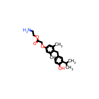 Cc1cc(OCC(=O)OCCN)cc(C)c1Cc1ccc(O)c(C(C)C)c1